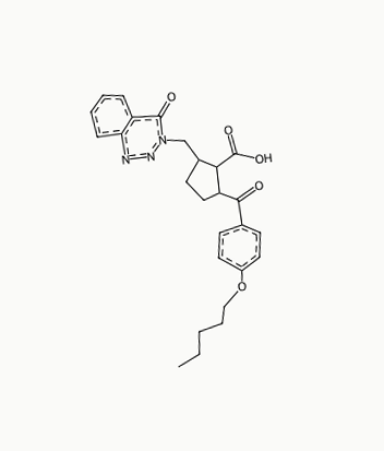 CCCCCOc1ccc(C(=O)C2CCC(Cn3nnc4ccccc4c3=O)C2C(=O)O)cc1